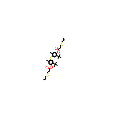 C=CCSCCC(=O)Oc1cc(C)c(Sc2cc(C(C)(C)C)c(OC(=O)CCSCC=C)cc2C)cc1C(C)(C)C